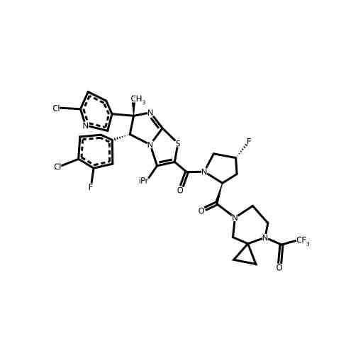 CC(C)C1=C(C(=O)N2C[C@H](F)C[C@H]2C(=O)N2CCN(C(=O)C(F)(F)F)C3(CC3)C2)SC2=N[C@@](C)(c3ccc(Cl)nc3)[C@@H](c3ccc(Cl)c(F)c3)N21